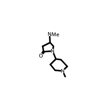 CNC1CC(=O)N(C2CCN(C)CC2)C1